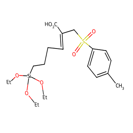 CCO[Si](CCCC=C(CS(=O)(=O)c1ccc(C)cc1)C(=O)O)(OCC)OCC